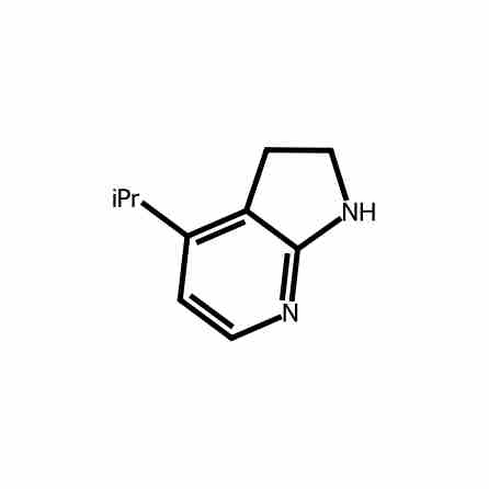 CC(C)c1ccnc2c1CCN2